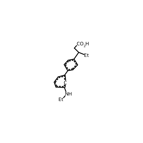 CCNc1cccc(-c2ccc(C(CC)CC(=O)O)cc2)c1